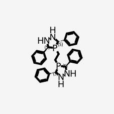 c1ccc([C@H]2NN[C@H](c3ccccc3)P2CCP2[C@@H](c3ccccc3)NN[C@@H]2c2ccccc2)cc1